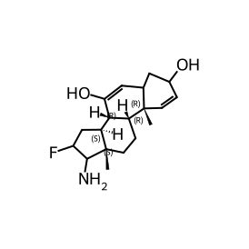 C[C@]12C=CC(O)CC1C=C(O)[C@@H]1[C@H]2CC[C@]2(C)C(N)C(F)C[C@@H]12